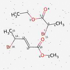 CCOC(=O)C(C)Br.COC(=O)C=CC(C)Br